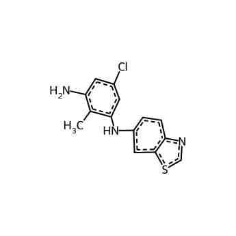 Cc1c(N)cc(Cl)cc1Nc1ccc2ncsc2c1